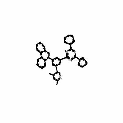 Cc1cc(C)c(-c2cc(-c3nc(-c4ccccc4)nc(-c4ccccc4)n3)cc(-c3cc4ccccc4c4ccccc34)c2)cn1